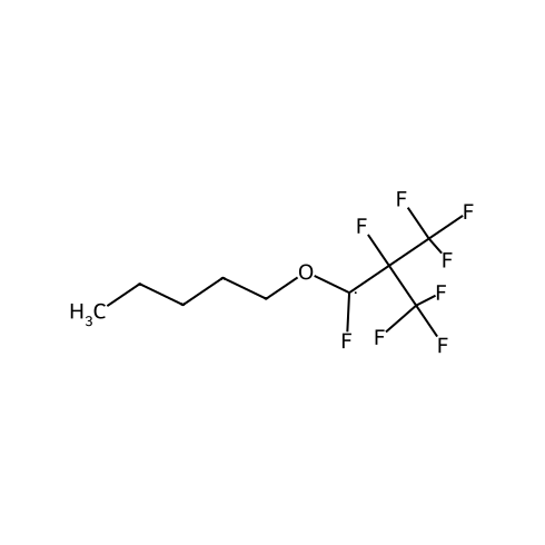 CCCCCO[C](F)C(F)(C(F)(F)F)C(F)(F)F